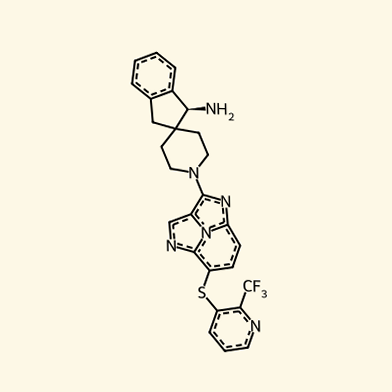 N[C@@H]1c2ccccc2CC12CCN(c1nc3ccc(Sc4cccnc4C(F)(F)F)c4ncc1n34)CC2